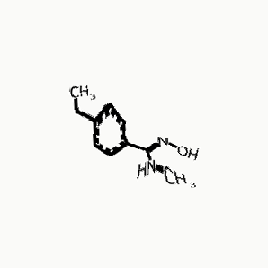 CCc1ccc(/C(=N/O)NC)cc1